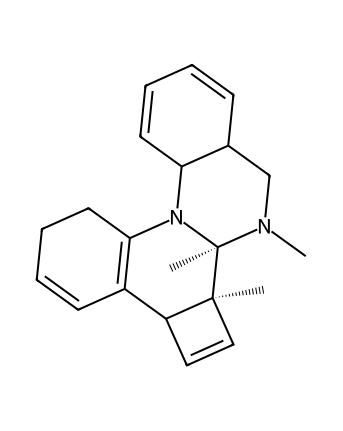 CN1CC2C=CC=CC2N2C3=C(C=CCC3)C3C=C[C@]3(C)[C@]12C